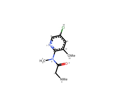 CNCC(=O)N(C)c1ncc(Cl)cc1OC